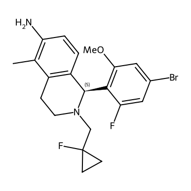 COc1cc(Br)cc(F)c1[C@@H]1c2ccc(N)c(C)c2CCN1CC1(F)CC1